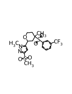 Cn1nc(S(C)(=O)=O)cc1C1CC(C)(S(=O)(=O)c2cccc(C(F)(F)F)c2)CCO1